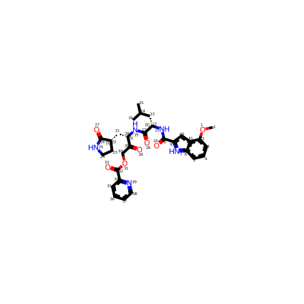 COc1cccc2[nH]c(C(=O)N[C@@H](CC(C)C)C(=O)N[C@@H](C[C@@H]3CCNC3=O)C(=O)COC(=O)c3ccccn3)cc12